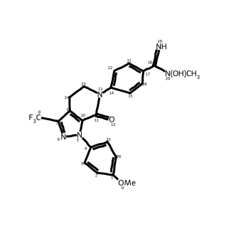 COc1ccc(-n2nc(C(F)(F)F)c3c2C(=O)N(c2ccc(C(=N)N(C)O)cc2)CC3)cc1